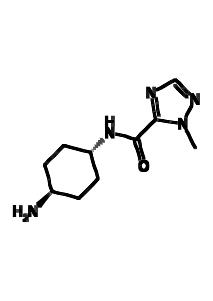 Cn1ncnc1C(=O)N[C@H]1CC[C@H](N)CC1